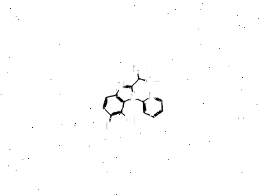 Cc1c(F)ccc2nc(C(C)N)n(-c3ccccn3)c12